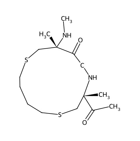 CN[C@@]1(C)CSCCCCSC[C@@](C)(C(C)=O)NCC1=O